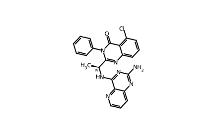 C[C@H](Nc1nc(N)nc2cccnc12)c1nc2cccc(Cl)c2c(=O)n1-c1ccccc1